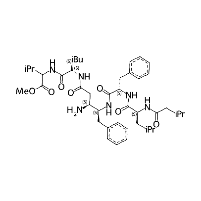 CC[C@H](C)[C@H](NC(=O)C[C@H](N)[C@H](Cc1ccccc1)NC(=O)[C@H](Cc1ccccc1)NC(=O)[C@H](CC(C)C)NC(=O)CC(C)C)C(=O)NC(C(=O)OC)C(C)C